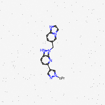 CCCn1cc(-c2ccc3[nH]n(Cc4ccc5nccn5c4)c3n2)cn1